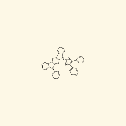 c1ccc(-c2nc(-n3c4ccccc4c4cc5c6ccccc6n(-c6ccccc6)c5cc43)sc2-c2ccccc2)cc1